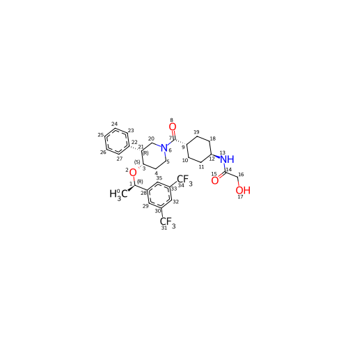 C[C@@H](O[C@H]1CCN(C(=O)[C@H]2CC[C@H](NC(=O)CO)CC2)C[C@H]1c1ccccc1)c1cc(C(F)(F)F)cc(C(F)(F)F)c1